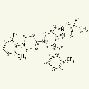 Cc1cccc(F)c1N1CCC(N2Cc3cn(CC(C)(F)F)nc3N(Cc3ccccc3C(F)(F)F)C2)CC1